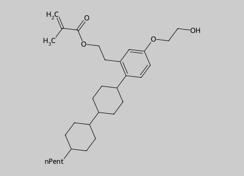 C=C(C)C(=O)OCCc1cc(OCCO)ccc1C1CCC(C2CCC(CCCCC)CC2)CC1